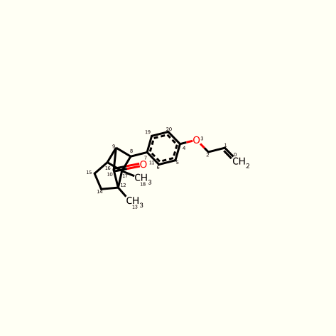 C=CCOc1ccc(C2C3C(=O)C4(C)CCC3C24C)cc1